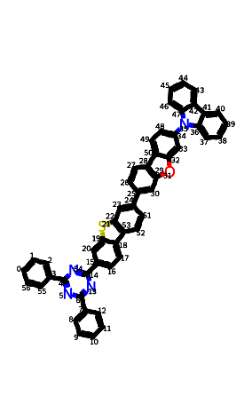 c1ccc(-c2nc(-c3ccccc3)nc(-c3ccc4c(c3)sc3cc(-c5ccc6c(c5)oc5cc(-n7c8ccccc8c8ccccc87)ccc56)ccc34)n2)cc1